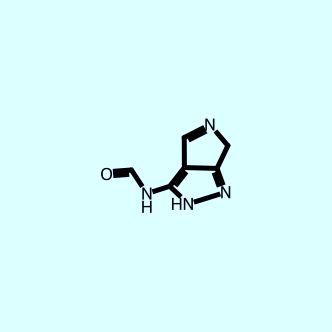 O=CNc1[nH]nc2c1C=NC2